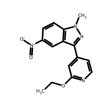 CCOc1cc(-c2nn(C)c3ccc([N+](=O)[O-])cc23)ccn1